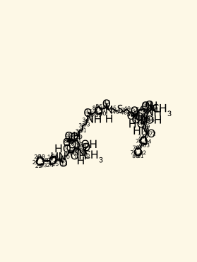 CC(=O)N[C@H]1[C@H]([C@H](O)[C@H](O)CNC(=O)c2ccc(-c3ccccc3)cc2)O[C@@](OCCCCCCNC(=O)c2ccc(C(=O)NCCSCCCO[C@]3(C(=O)O)C[C@H](O)[C@@H](NC(C)=O)[C@H]([C@H](O)[C@H](O)CNC(=O)c4ccc(-c5ccccc5)cc4)O3)cc2)(C(=O)O)C[C@@H]1O